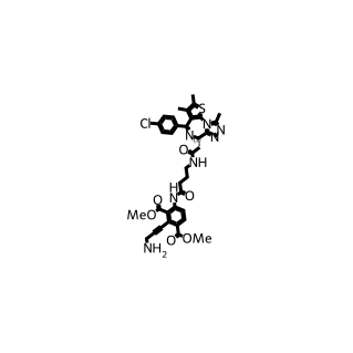 COC(=O)c1ccc(NC(=O)CCCNC(=O)C[C@@H]2N=C(c3ccc(Cl)cc3)c3c(sc(C)c3C)-n3c(C)nnc32)c(C(=O)OC)c1C#CCN